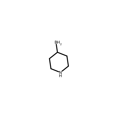 BC1CCNCC1